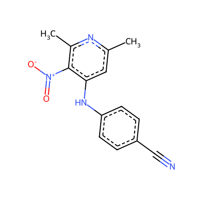 Cc1cc(Nc2ccc(C#N)cc2)c([N+](=O)[O-])c(C)n1